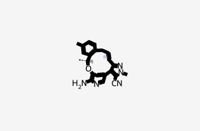 Cc1ccc2c(c1)[C@@H](C)Oc1cc(cnc1N)-c1c(nn(C)c1C#N)/C=C/C2